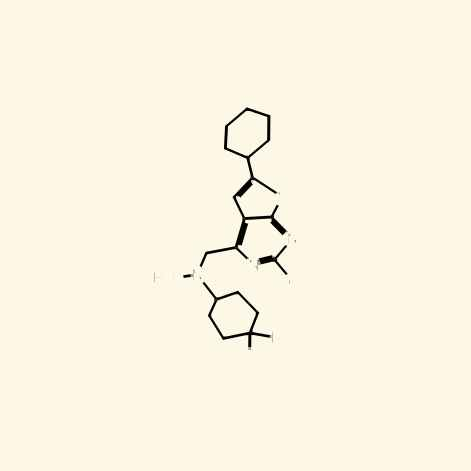 Cc1nc(CN(C)C2CCC(F)(F)CC2)c2cc(C3CCCCC3)sc2n1